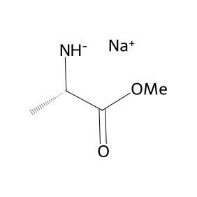 COC(=O)[C@H](C)[NH-].[Na+]